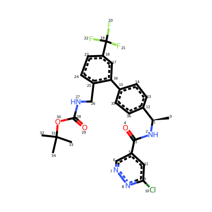 C[C@@H](NC(=O)c1cnnc(Cl)c1)c1ccc(-c2cc(C(F)(F)F)ccc2CNC(=O)OC(C)(C)C)cc1